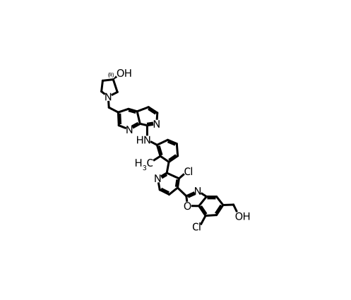 Cc1c(Nc2nccc3cc(CN4CC[C@@H](O)C4)cnc23)cccc1-c1nccc(-c2nc3cc(CO)cc(Cl)c3o2)c1Cl